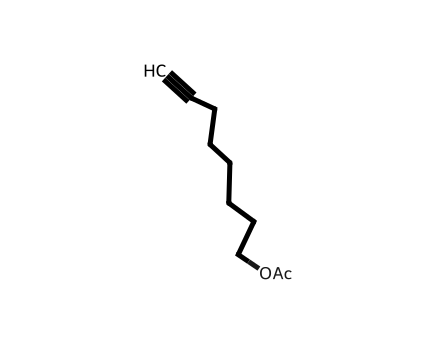 C#CCCCCCCOC(C)=O